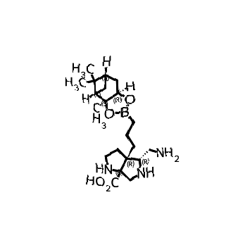 CC1(C)[C@@H]2C[C@H]3OB(CCC[C@]45CCN[C@@]4(C(=O)O)CN[C@H]5CN)O[C@@]3(C)[C@H]1C2